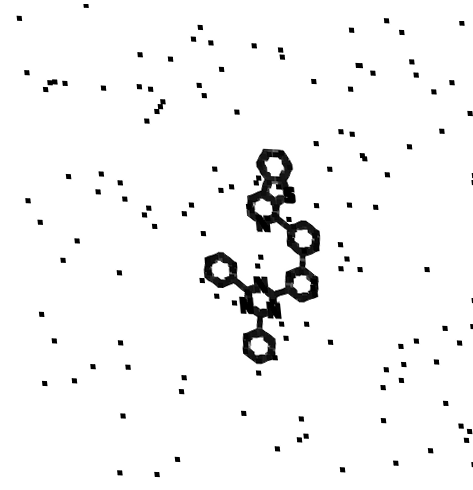 c1ccc(-c2nc(-c3ccccc3)nc(-c3cccc(-c4cccc(-c5nccc6c5sc5ccccc56)c4)c3)n2)cc1